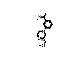 CC(N)c1cccc(N2CCO[C@H](CO)C2)c1